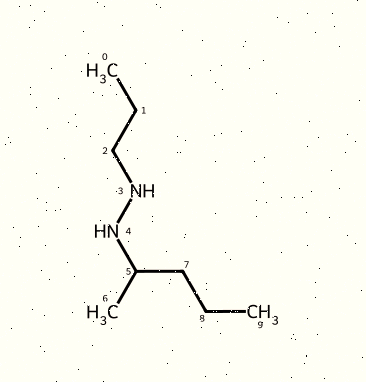 CCCNNC(C)CCC